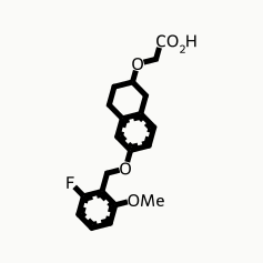 COc1cccc(F)c1COc1ccc2c(c1)CCC(OCC(=O)O)C2